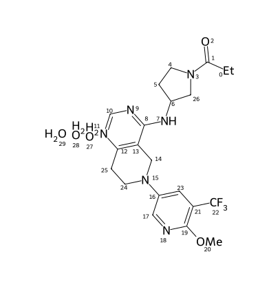 CCC(=O)N1CCC(Nc2ncnc3c2CN(c2cnc(OC)c(C(F)(F)F)c2)CC3)C1.O.O.O